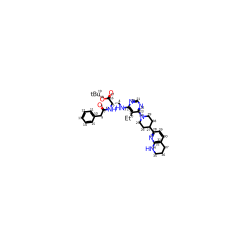 CCc1c(NC[C@H](NC(=O)Cc2ccccc2)C(=O)OC(C)(C)C)ncnc1N1CCC(c2ccc3c(n2)NCCC3)CC1